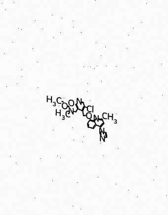 CCOC(=O)N(C)Cc1cncc(Cl)c1COc1cccc2c(-n3ccnc3)cc(C)nc12